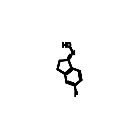 ON=C1CCc2cc(F)ccc21